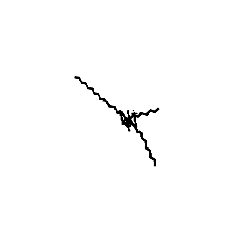 CCCCCCCCCCCCCC[n+]1ccn(CCCCCCCCCC)c1CCCCCCC